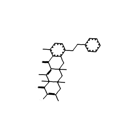 CC(=O)C1=C(C)CC2(C)CC3(C)Cc4c(CCc5ccccc5)ccc(C)c4C(=O)C3=C(C)C2(C)C1=O